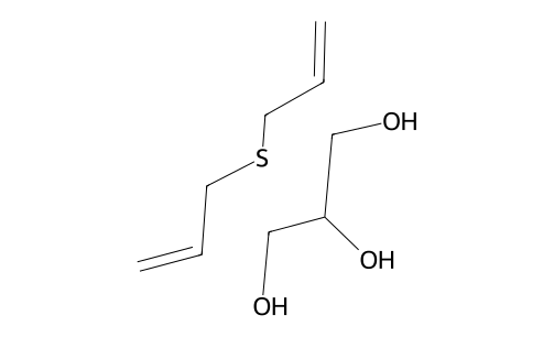 C=CCSCC=C.OCC(O)CO